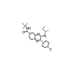 CCC(C)N(C)c1nc2cc(C(=O)NC(C)(C)C)ccc2nc1-c1ccc(F)cc1